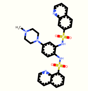 CN1CCN(c2ccc(NS(=O)(=O)c3cccc4cccnc34)c(NS(=O)(=O)c3ccc4cccnc4c3)c2)CC1